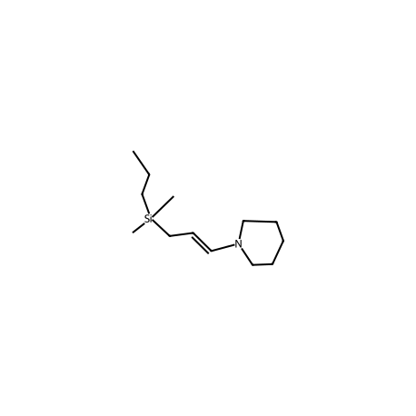 CCC[Si](C)(C)CC=CN1CCCCC1